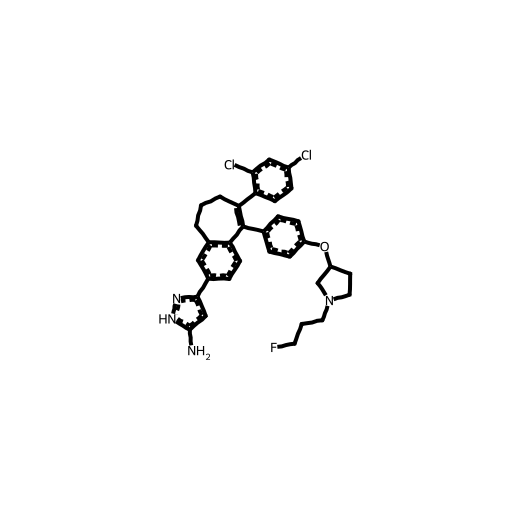 Nc1cc(-c2ccc3c(c2)CCCC(c2ccc(Cl)cc2Cl)=C3c2ccc(OC3CCN(CCCF)C3)cc2)n[nH]1